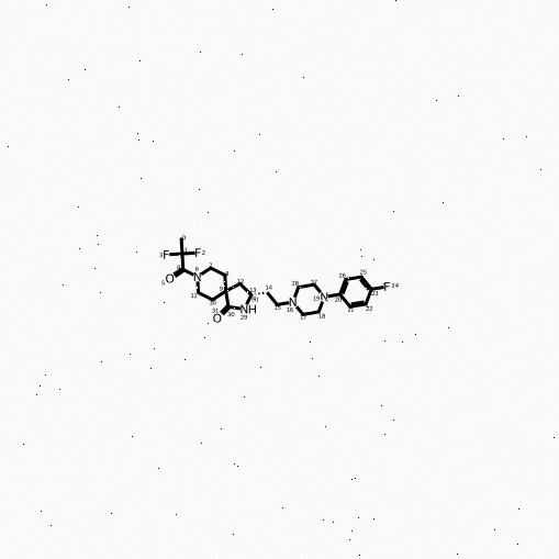 CC(F)(F)C(=O)N1CCC2(CC1)C[C@H](CCN1CCN(c3ccc(F)cc3)CC1)NC2=O